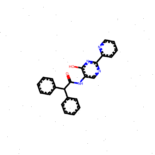 O=C(Nc1cnc(-c2ccccn2)nc1O)C(c1ccccc1)c1ccccc1